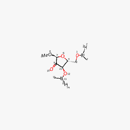 [2H]B(C)OC[C@H]1O[C@H](OC)C(=O)[C@@H]1OB([2H])C